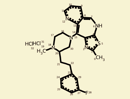 Cc1nc2c(s1)NC=c1cccnc1=C2N1CCN(C)C(CCc2cccc(F)c2)C1.Cl.Cl